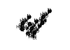 CCNS(=O)(=O)c1ccc(NC(=O)NCc2cccnc2)cc1.Cc1ncccc1NS(=O)(=O)c1ccc(NC(=O)NCc2cccnc2)cc1.NC(=O)NCc1cccnc1.O=C(NCc1cccnc1)Nc1ccc(S(=O)(=O)Nc2ccccc2F)cc1.O=C(NCc1cccnc1)Nc1ccc(S(=O)(=O)Nc2ccccc2OC(F)F)cc1